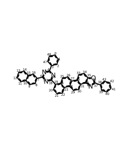 c1ccc(-c2nc(-c3ccc4ccccc4c3)nc(-c3cccc4c3ccc3c4ccc4c3ccc3oc(-c5ccccc5)nc34)n2)cc1